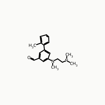 Cc1ccccc1-c1cc(C=O)cc(N(C)CCN(C)C)c1